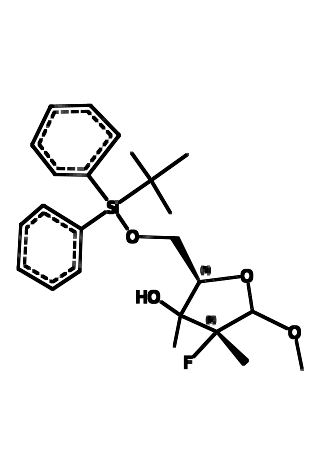 COC1O[C@H](CO[Si](c2ccccc2)(c2ccccc2)C(C)(C)C)C(C)(O)[C@@]1(C)F